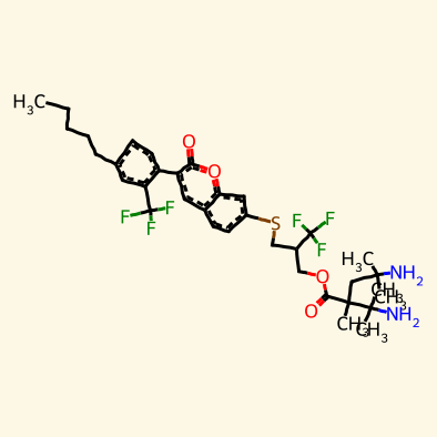 CCCCCc1ccc(-c2cc3ccc(SCC(COC(=O)C(C)(CC(C)(C)N)C(C)(C)N)C(F)(F)F)cc3oc2=O)c(C(F)(F)F)c1